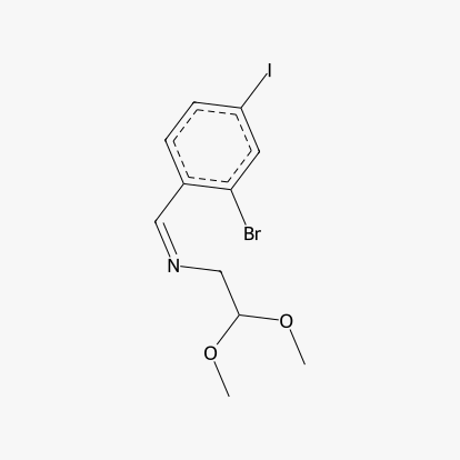 COC(C/N=C\c1ccc(I)cc1Br)OC